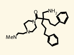 CNCCN1CCN(C(=O)C(CN)(CCCc2ccccc2)CCCc2ccccc2)CC1